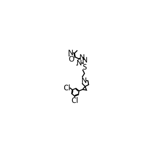 Cc1ncoc1-c1nnc(SCCCN2CCC3(CC3c3cc(Cl)cc(Cl)c3)C2)n1C